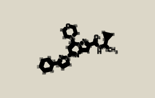 CC(NC(=O)c1cc2nc(-n3ccc(-c4ccccc4)n3)cc(N3CCOCC3)n2n1)C1CC1